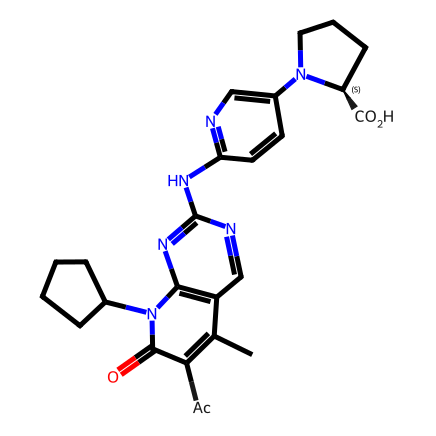 CC(=O)c1c(C)c2cnc(Nc3ccc(N4CCC[C@H]4C(=O)O)cn3)nc2n(C2CCCC2)c1=O